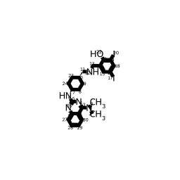 CN(C)c1nc(N[C@H]2CC[C@@H](CNCc3cc(I)cc(I)c3O)CC2)nc2ccccc12